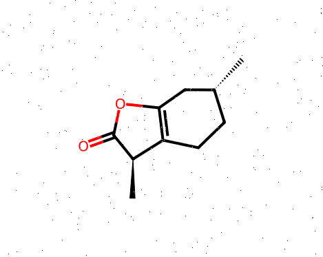 C[C@@H]1CCC2=C(C1)OC(=O)[C@@H]2C